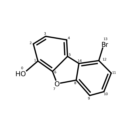 Oc1cccc2c1oc1cccc(Br)c12